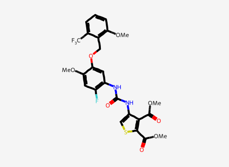 COC(=O)c1scc(NC(=O)Nc2cc(OCc3c(OC)cccc3C(F)(F)F)c(OC)cc2F)c1C(=O)OC